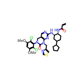 C=CC(=O)N[C@H]1CCC(C2CCCC2)C[C@H]1Nc1ncc2c(n1)N(Cc1cscn1)C(=O)N(c1c(Cl)c(OC)cc(OC)c1Cl)C2